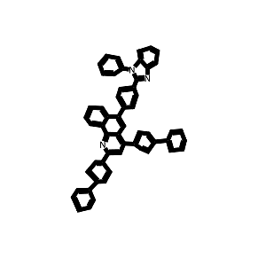 c1ccc(-c2ccc(-c3cc(-c4ccc(-c5ccccc5)cc4)c4cc(-c5ccc(-c6nc7ccccc7n6-c6ccccc6)cc5)c5ccccc5c4n3)cc2)cc1